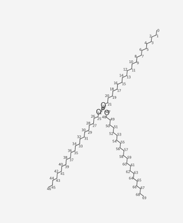 CCCCCCCCCCCCCCCCCCCCCCOP(OCCCCCCCCCCCCCCCCCCCCCC)OCCCCCCCCCCCCCCCCCCCCCC